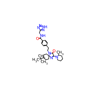 CC1CCCCN1C1=NC2(CCC(C(C)(C)C)CC2)N(CCc2ccc(C(=O)NCc3nn[nH]n3)cc2)C1=O